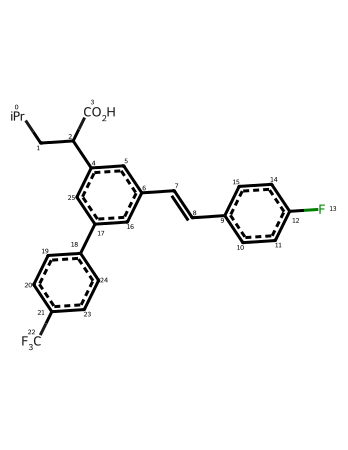 CC(C)CC(C(=O)O)c1cc(C=Cc2ccc(F)cc2)cc(-c2ccc(C(F)(F)F)cc2)c1